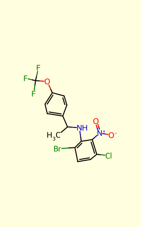 CC(Nc1c(Br)ccc(Cl)c1[N+](=O)[O-])c1ccc(OC(F)(F)F)cc1